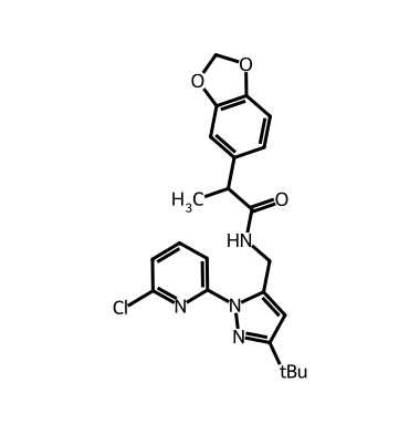 CC(C(=O)NCc1cc(C(C)(C)C)nn1-c1cccc(Cl)n1)c1ccc2c(c1)OCO2